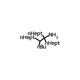 CCCCCCCC(CCCC)C(N)(CCCCCCC)CCCCCCC